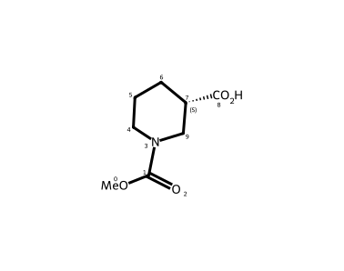 COC(=O)N1CCC[C@H](C(=O)O)C1